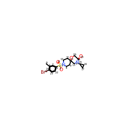 Cc1cc(S(=O)(=O)N2CCC3(CC2)CN(C2CC2)C(=O)CO3)ccc1Br